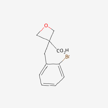 O=C(O)C1(Cc2ccccc2Br)COC1